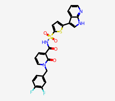 O=C(NS(=O)(=O)c1ccc(-c2c[nH]c3ncccc23)s1)c1cccn(Cc2ccc(F)c(F)c2)c1=O